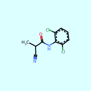 CC(C#N)C(=O)Nc1c(Cl)cccc1Cl